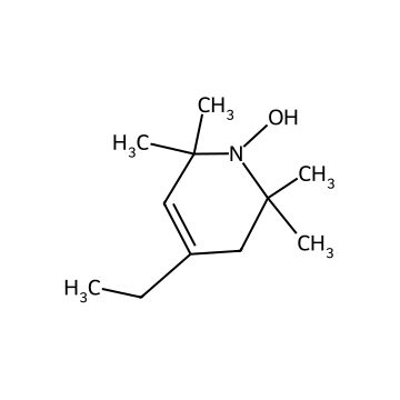 CCC1=CC(C)(C)N(O)C(C)(C)C1